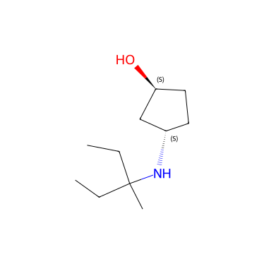 CCC(C)(CC)N[C@H]1CC[C@H](O)C1